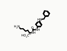 NCCCC[C@H](NC(=O)Nc1ccc(NCc2ccccc2)cc1)C(=O)O